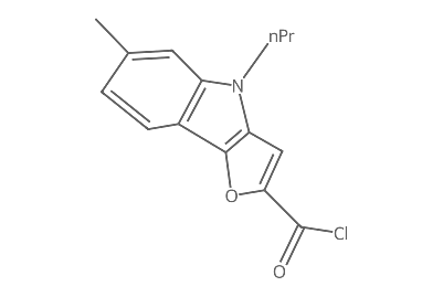 CCCn1c2cc(C)ccc2c2oc(C(=O)Cl)cc21